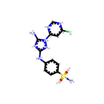 Nc1nc(Nc2ccc(S(N)(=O)=O)cc2)nn1-c1cc(Cl)ncn1